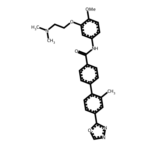 COc1ccc(NC(=O)c2ccc(-c3ccc(-c4nnco4)cc3C)cc2)cc1OCCN(C)C